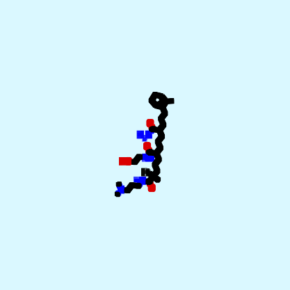 CCC(C)(CCCC(CCCC(CCCC1C2CCC(C2)C1C)C(N)=O)C(=O)NCCO)C(=O)NCCCN(C)C